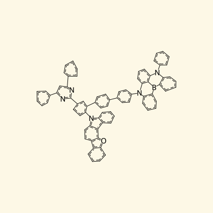 c1ccc(-c2cc(-c3ccccc3)nc(-c3ccc(-n4c5ccccc5c5c6oc7ccccc7c6ccc54)c(-c4ccc(-c5ccc(N6c7ccccc7B7c8ccccc8N(c8ccccc8)c8cccc6c87)cc5)cc4)c3)n2)cc1